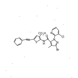 Cc1c(Br)nn(-c2ncccc2Cl)c1C(=O)Nc1sc(C#Cc2ccccc2)cc1C(=O)O